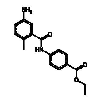 CCOC(=O)c1ccc(NC(=O)c2cc(N)ccc2C)cc1